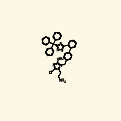 CCCCc1nc(Cl)c(CCN)n1Cc1ccc(-c2ccccc2-c2nnn(C(c3ccccc3)(c3ccccc3)c3ccccc3)n2)cc1